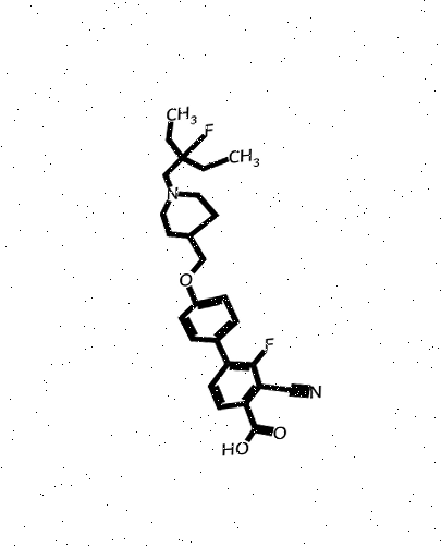 CCC(F)(CC)CN1CCC(COc2ccc(-c3ccc(C(=O)O)c(C#N)c3F)cc2)CC1